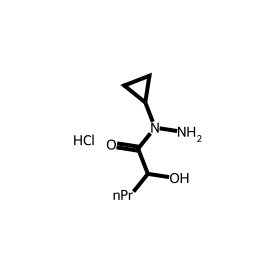 CCCC(O)C(=O)N(N)C1CC1.Cl